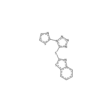 c1ccc2sc(Sc3nnnn3-c3nccs3)nc2c1